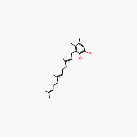 CC(C)=CCC/C(C)=C/CC/C(C)=C/Cc1c(C)c(C)cc(O)c1O